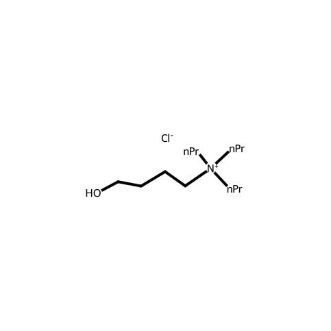 CCC[N+](CCC)(CCC)CCCCO.[Cl-]